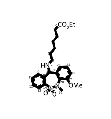 CCOC(=O)CCCCCCNC1c2ccccc2S(=O)(=O)N(C)c2c(OC)cccc21